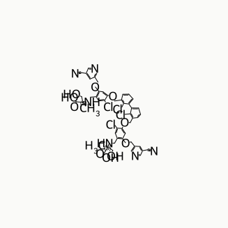 C[C@@](CO)(NCc1cc(Cl)c(OCc2cccc(-c3cccc(COc4cc(OCc5cncc(C#N)c5)c(CN[C@@](C)(CO)C(=O)O)cc4Cl)c3Cl)c2Cl)cc1OCc1cncc(C#N)c1)C(=O)O